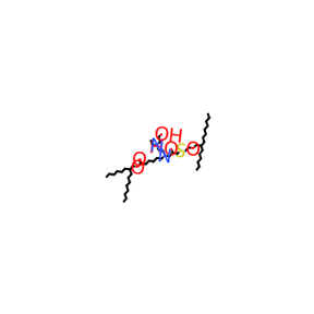 CCCCCCCCC(CCCCCC)COCCSCC(O)CN(CCCCCC(=O)OCC(CCCCCC)CCCCCCCC)CCN(CC)CCO